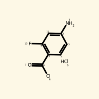 Cl.Nc1ccc(C(=O)Cl)c(F)c1